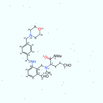 CNC(=O)C(CCC=O)N(C)Cc1c(C=O)cccc1NCc1ccc(CN2CCOCC2)cc1